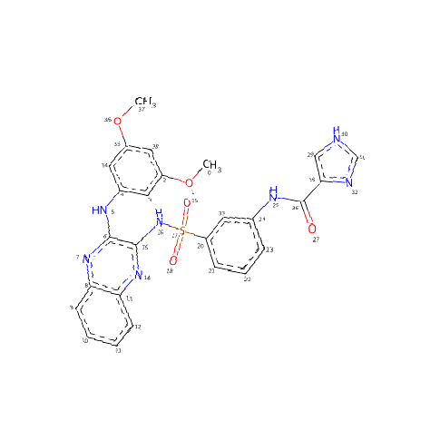 COc1cc(Nc2nc3ccccc3nc2NS(=O)(=O)c2cccc(NC(=O)c3c[nH]cn3)c2)cc(OC)c1